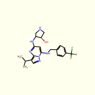 CC(C)c1cnn2c(NCc3ccc(C(F)(F)F)cc3)cc(NC3CNC[C@H]3O)nc12